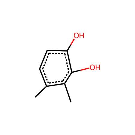 Cc1ccc(O)c(O)c1C